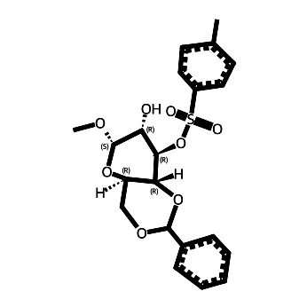 CO[C@H]1O[C@@H]2COC(c3ccccc3)O[C@H]2[C@H](OS(=O)(=O)c2ccc(C)cc2)[C@H]1O